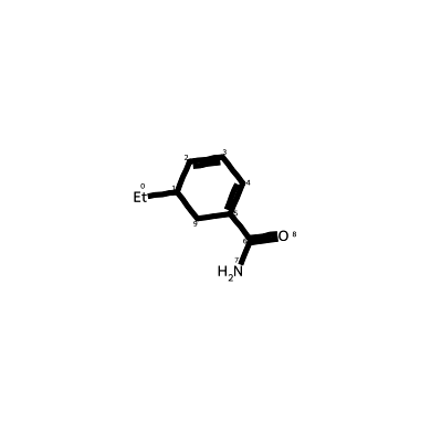 CCC1C=CC=C(C(N)=O)C1